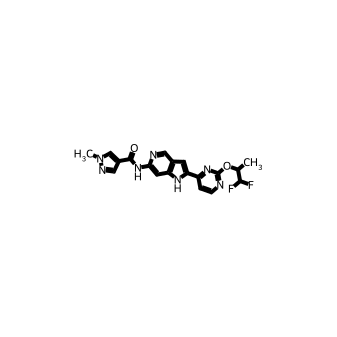 CC(Oc1nccc(-c2cc3cnc(NC(=O)c4cnn(C)c4)cc3[nH]2)n1)C(F)F